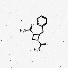 NC(=O)[C@H]1C[C@@H](C(N)=O)N1Cc1ccccc1